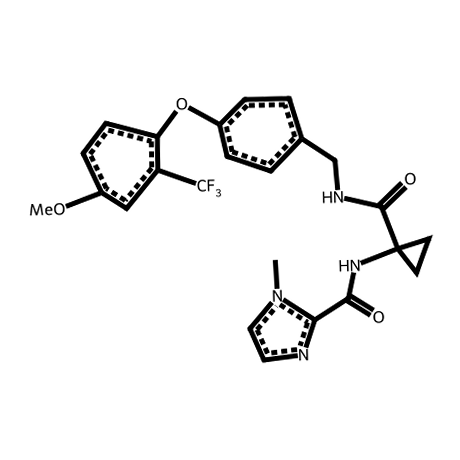 COc1ccc(Oc2ccc(CNC(=O)C3(NC(=O)c4nccn4C)CC3)cc2)c(C(F)(F)F)c1